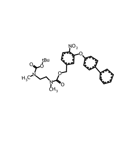 CN(CCN(C)C(=O)OC(C)(C)C)C(=O)OCc1ccc([N+](=O)[O-])c(Oc2ccc(-c3ccccc3)cc2)c1